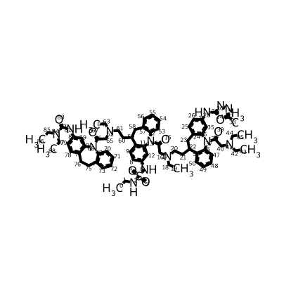 CCNS(=O)(=O)Nc1ccc2c(c1)N(C(=O)CN(CC)CCC1Cc3ccc(Nc4nnc(C)o4)cc3N(C(=O)CN(CC)CC)c3ccccc31)c1ccccc1CC2CCN(CC)CC(=O)N1c2ccccc2CCc2ccc(NC(=O)N(CC)CC)cc21